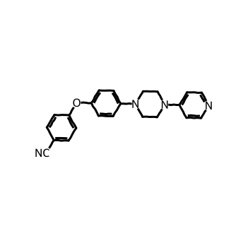 N#Cc1ccc(Oc2ccc(N3CCN(c4ccncc4)CC3)cc2)cc1